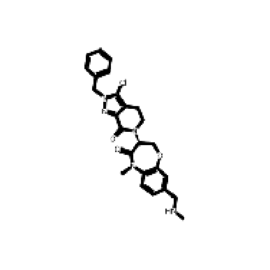 CNCc1ccc2c(c1)OC[C@H](N1CCc3c(nn(Cc4ccccc4)c3Cl)C1=O)C(=O)N2C